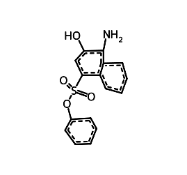 Nc1c(O)cc(S(=O)(=O)Oc2ccccc2)c2ccccc12